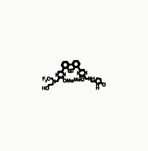 COc1nc(-c2cccc(-c3cccc(-c4cnc(CN(CCO)CC(F)(F)F)c(OC)n4)c3Cl)c2Cl)cnc1CNCC1CCC(=O)N1